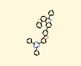 c1ccc(-c2nc(-c3ccccc3)nc(-c3ccc4oc5cc(-c6ccc7nc(-c8ccccc8)c8ccc9sc%10ccccc%10c9c8c7c6)ccc5c4c3)n2)cc1